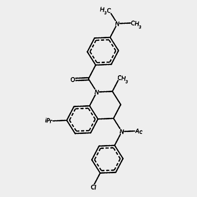 CC(=O)N(c1ccc(Cl)cc1)C1CC(C)N(C(=O)c2ccc(N(C)C)cc2)c2cc(C(C)C)ccc21